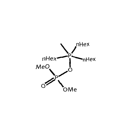 CCCCCCP(C)(CCCCCC)(CCCCCC)OP(=O)(OC)OC